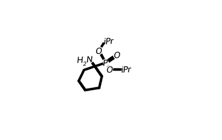 CC(C)OP(=O)(OC(C)C)C1(N)CCCCC1